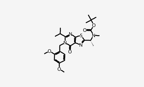 COc1ccc(Cn2c(C(C)C)nc3sc([C@@H](C)N(C)C(=O)OC(C)(C)C)nc3c2=O)c(OC)c1